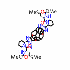 COC(=O)N[C@@H](CCSC)C(=O)N1CCCC[C@H]1c1nc2cc(-c3cc4ccc3CCc3ccc(c(-c5ccc6[nH]c([C@@H]7CCCCN7C(=O)[C@H](CCSC)NC(=O)OC)nc6c5)c3)CC4)ccc2[nH]1